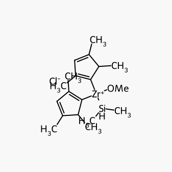 C[O][Zr+]([C]1=C(C)C=C(C)C1C)([C]1=C(C)C=C(C)C1C)[SiH](C)C.[Cl-]